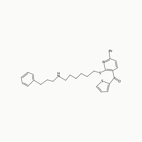 CC(C)c1ccc(C(=O)c2cccs2)c(SCCCCCCNCCCc2ccccc2)n1